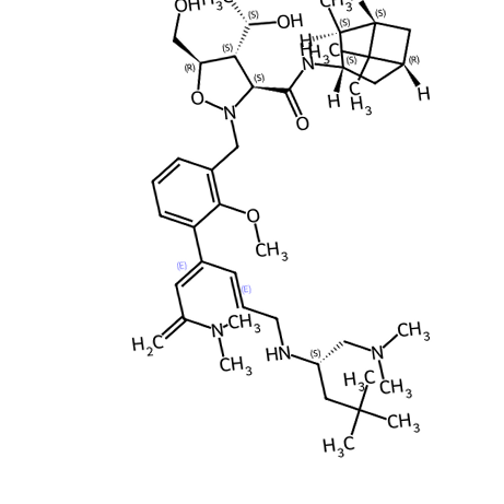 C=C(/C=C(\C=C\CN[C@H](CN(C)C)CC(C)(C)C)c1cccc(CN2O[C@@H](CO)[C@H]([C@H](C)O)[C@H]2C(=O)N[C@H]2C[C@H]3C[C@@H]([C@@H]2C)C3(C)C)c1OC)N(C)C